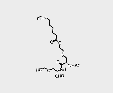 CCCCCCCCCCCCCCCC(=O)OCCSC[C@H](NC(C)=O)C(=O)N[C@H](C=O)COCO